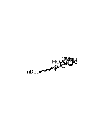 CCCCCCCCCCCCCCCC=NOC[C@H]1O[C@@H](n2ccc(=O)[nH]c2=O)C(OC)C1O